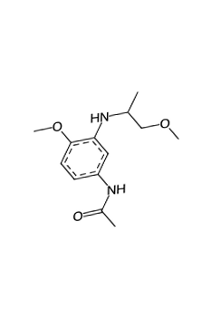 COCC(C)Nc1cc(NC(C)=O)ccc1OC